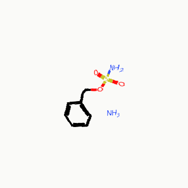 N.NS(=O)(=O)OCc1ccccc1